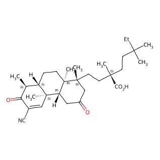 CCC(C)(C)CC[C@@](C)(CC[C@]1(C)CC(=O)C[C@@H]2[C@@]3(C)C=C(C#N)C(=O)[C@@H](C)[C@@H]3CC[C@]21C)C(=O)O